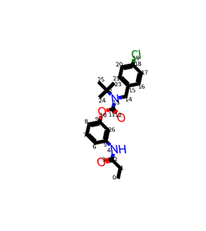 CCC(=O)Nc1cccc(OC(=O)N(Cc2ccc(Cl)cc2)C(C)(C)C)c1